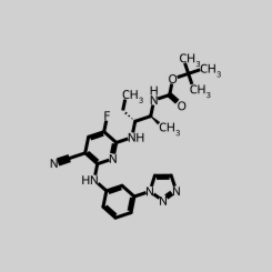 CC[C@@H](Nc1nc(Nc2cccc(-n3ccnn3)c2)c(C#N)cc1F)[C@H](C)NC(=O)OC(C)(C)C